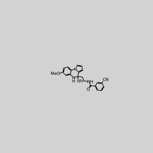 CCCC1(CCNC(=O)c2cccc(C#N)c2)Nc2cc(OC)ccc2-n2cccc21